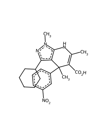 CC1=C(C(=O)O)C(C)(c2cccc([N+](=O)[O-])c2)c2c(C3CCCCC3)nn(C)c2N1